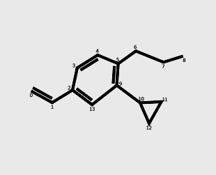 C=Cc1ccc(CCC)c(C2CC2)c1